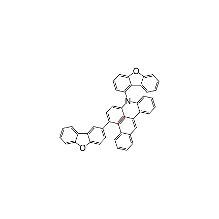 c1ccc(N(c2ccc(-c3ccc4oc5ccccc5c4c3)cc2)c2cccc3oc4ccccc4c23)c(-c2ccc3ccccc3c2)c1